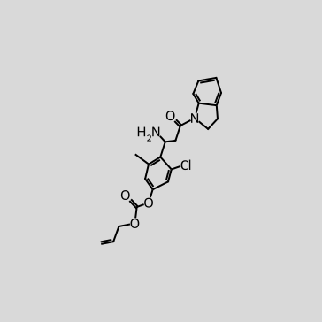 C=CCOC(=O)Oc1cc(C)c(C(N)CC(=O)N2CCc3ccccc32)c(Cl)c1